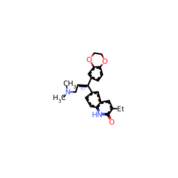 CCc1cc2cc(/C(=C\CN(C)C)c3ccc4c(c3)OCCO4)ccc2[nH]c1=O